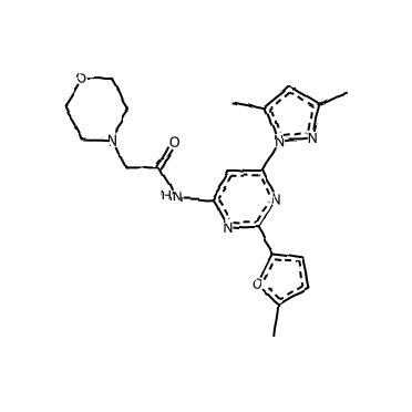 Cc1cc(C)n(-c2cc(NC(=O)CN3CCOCC3)nc(-c3ccc(C)o3)n2)n1